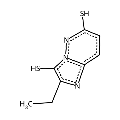 CCc1nc2ccc(S)nn2c1S